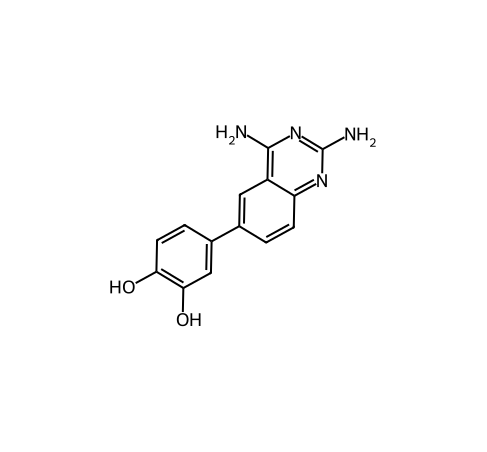 Nc1nc(N)c2cc(-c3ccc(O)c(O)c3)ccc2n1